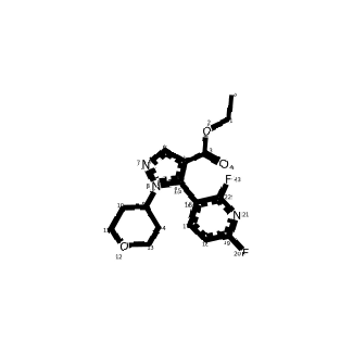 CCOC(=O)c1cnn(C2CCOCC2)c1-c1ccc(F)nc1F